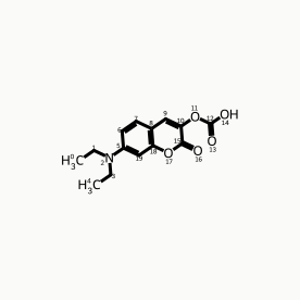 CCN(CC)c1ccc2cc(OC(=O)O)c(=O)oc2c1